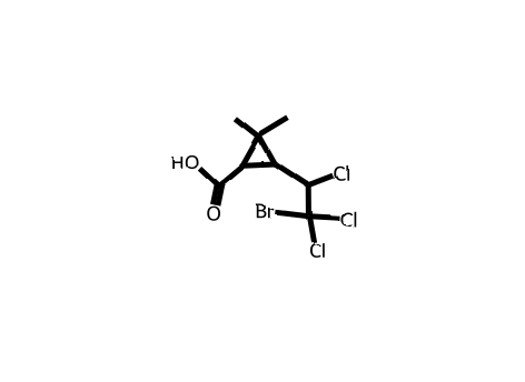 CC1(C)C(C(=O)O)C1C(Cl)C(Cl)(Cl)Br